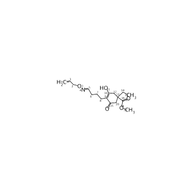 C=CCON=CCCCC1=C(O)CC(CC)(C(=O)OC)CC1=O